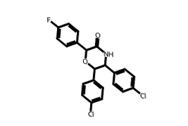 O=C1NC(c2ccc(Cl)cc2)C(c2ccc(Cl)cc2)OC1c1ccc(F)cc1